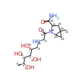 C[C@H](O)[C@H](O)[C@@H](O)[C@@H](O)CNCC(=O)N1C(C(N)=O)CC2(C)CC12